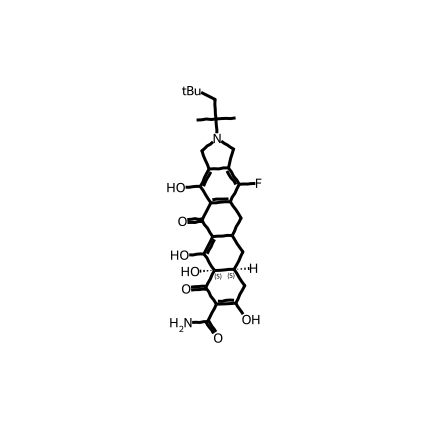 CC(C)(C)CC(C)(C)N1Cc2c(O)c3c(c(F)c2C1)CC1C[C@H]2CC(O)=C(C(N)=O)C(=O)[C@@]2(O)C(O)=C1C3=O